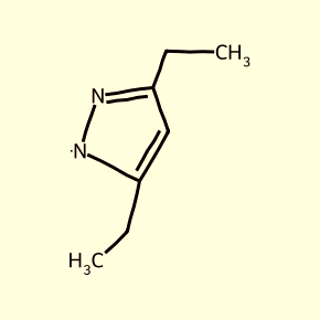 CCC1=CC(CC)=N[N]1